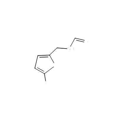 O=[C]NCc1ccc(Br)s1